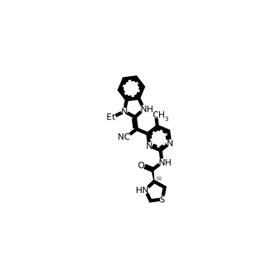 CCN1C(=C(C#N)c2nc(NC(=O)[C@H]3CSCN3)ncc2C)Nc2ccccc21